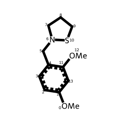 COc1ccc(CN2CCCS2)c(OC)c1